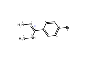 N/N=C(\NN)c1ccc(Br)cc1